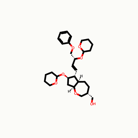 OC[C@H]1CC[C@@H]2[C@@H](C=C[C@H](COc3ccccc3)OC3CCCCO3)[C@H](OC3CCCCO3)C[C@@H]2OC1